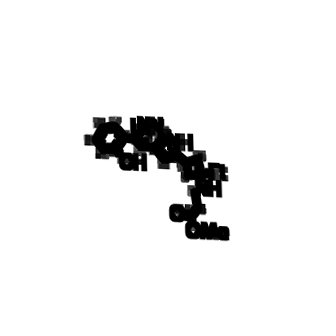 CCC1(NCCC(=O)OC)CC(c2cc(/C=C(\N)c3ccccc3O)c(N)[nH]2)C1